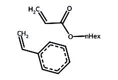 C=CC(=O)OCCCCCC.C=Cc1ccccc1